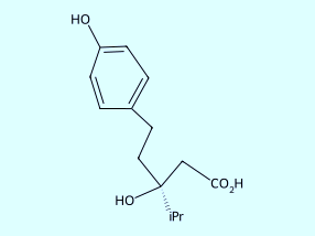 CC(C)[C@](O)(CCc1ccc(O)cc1)CC(=O)O